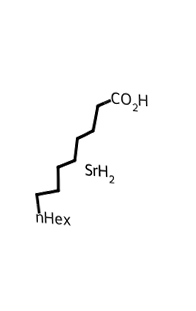 CCCCCCCCCCCCCC(=O)O.[SrH2]